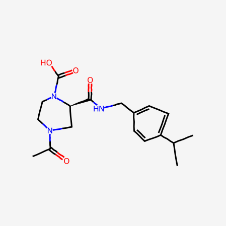 CC(=O)N1CCN(C(=O)O)[C@@H](C(=O)NCc2ccc(C(C)C)cc2)C1